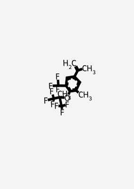 C=C(C)c1cc(C)c(OC(C)(C(F)(F)F)C(F)(F)F)c(C(F)(F)F)c1